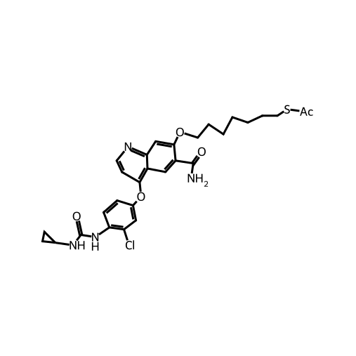 CC(=O)SCCCCCCCOc1cc2nccc(Oc3ccc(NC(=O)NC4CC4)c(Cl)c3)c2cc1C(N)=O